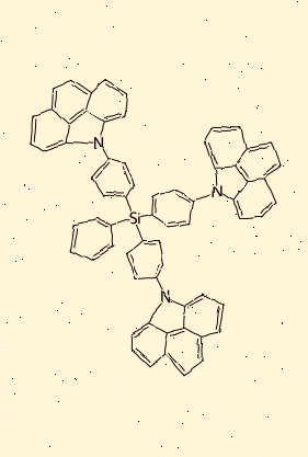 c1ccc([Si](c2ccc(-n3c4cccc5ccc6cccc3c6c54)cc2)(c2ccc(-n3c4cccc5ccc6cccc3c6c54)cc2)c2ccc(-n3c4cccc5ccc6cccc3c6c54)cc2)cc1